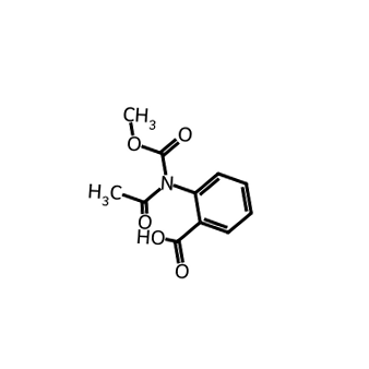 COC(=O)N(C(C)=O)c1ccccc1C(=O)O